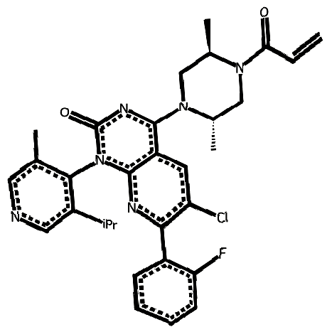 C=CC(=O)N1C[C@H](C)N(c2nc(=O)n(-c3c(C)cncc3C(C)C)c3nc(-c4ccccc4F)c(Cl)cc23)C[C@H]1C